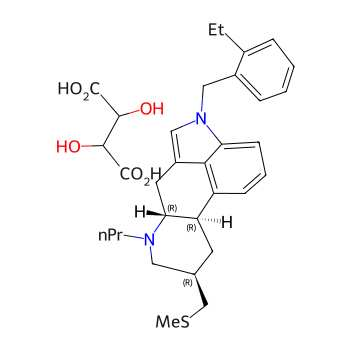 CCCN1C[C@H](CSC)C[C@@H]2c3cccc4c3c(cn4Cc3ccccc3CC)C[C@H]21.O=C(O)C(O)C(O)C(=O)O